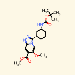 COC(=O)c1cc2nnc([C@H]3CCC[C@@H](NC(=O)OC(C)(C)C)C3)n2cc1OC